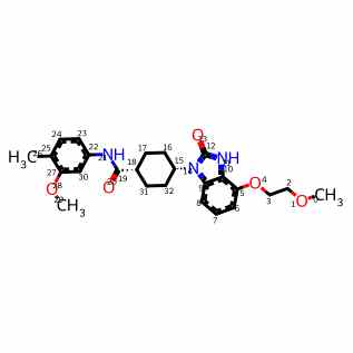 COCCOc1cccc2c1[nH]c(=O)n2[C@H]1CC[C@@H](C(=O)Nc2ccc(C)c(OC)c2)CC1